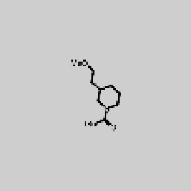 COCCC1CCCN(C(=O)C(C)(C)C)C1